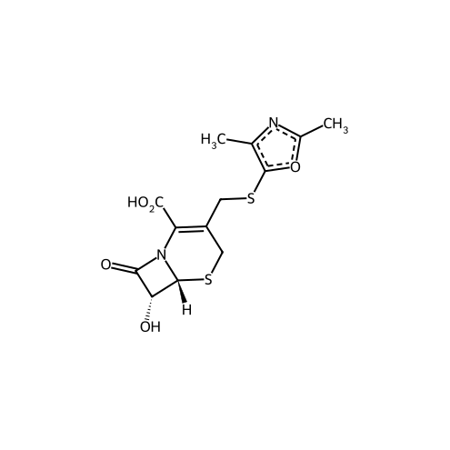 Cc1nc(C)c(SCC2=C(C(=O)O)N3C(=O)[C@@H](O)[C@H]3SC2)o1